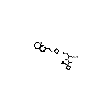 O=C(O)[C@H](CCO[C@H]1C[C@H](CCc2ccc3c(n2)NCCC3)C1)NC(=O)C1(C2CC2)CCC1